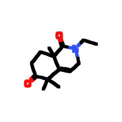 CCN1CC=C2C(C)(C)C(=O)CCC2(C)C1=O